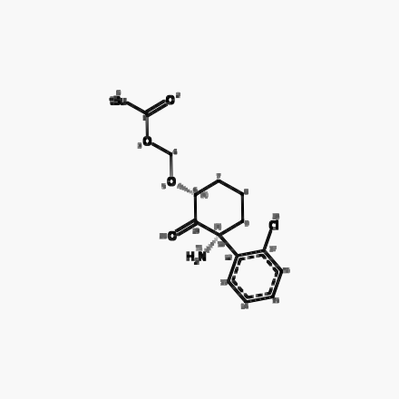 CC(C)(C)C(=O)OCO[C@@H]1CCC[C@@](N)(c2ccccc2Cl)C1=O